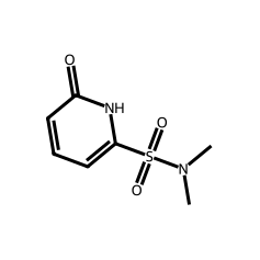 CN(C)S(=O)(=O)c1cccc(=O)[nH]1